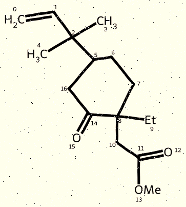 C=CC(C)(C)C1CCC(CC)(CC(=O)OC)C(=O)C1